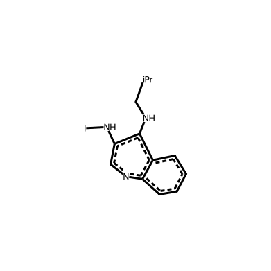 CC(C)CNc1c(NI)cnc2ccccc12